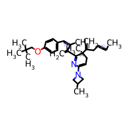 C=C(C1=NC(N2CC(C)C2)=CC[C@@]1(C)C(=C)C/C=C/C)/C(C)=C\c1ccc(OCC(C)(C)C)cc1